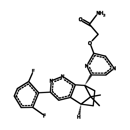 CC1(C)[C@H]2CC[C@]1(c1cncc(OCC(N)=O)n1)c1nnc(-c3c(F)cccc3F)cc12